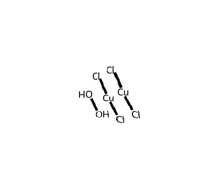 OO.[Cl][Cu][Cl].[Cl][Cu][Cl]